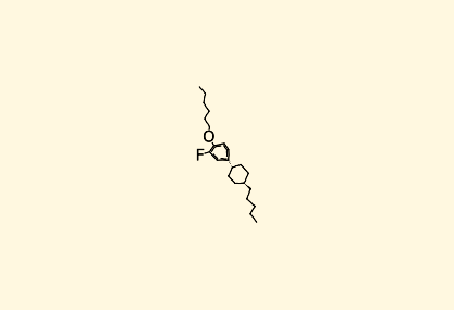 CCCCCCOc1ccc([C@H]2CC[C@H](CCCCC)CC2)cc1F